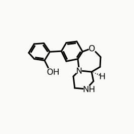 Oc1ccccc1-c1ccc2c(c1)N1CCNC[C@@H]1CCO2